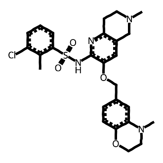 Cc1c(Cl)cccc1S(=O)(=O)Nc1nc2c(cc1OCc1ccc3c(c1)N(C)CCO3)CN(C)CC2